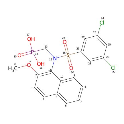 COc1ccc2ccccc2c1N(CP(=O)(O)O)S(=O)(=O)c1cc(Cl)cc(Cl)c1